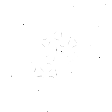 c1cc(-c2cc(-c3cccc4oc5ccccc5c34)c3c(c2)C2(c4ccccc4-3)C3CC4CC(C3)CC2C4)cc(-c2cccc3sc4ccccc4c23)c1